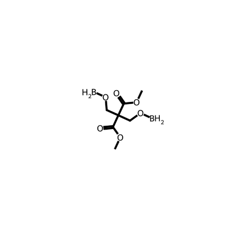 BOCC(COB)(C(=O)OC)C(=O)OC